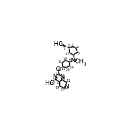 C#Cc1cccc(N(C)c2ccc(Oc3nc(O)c4ccncc4n3)cc2)c1